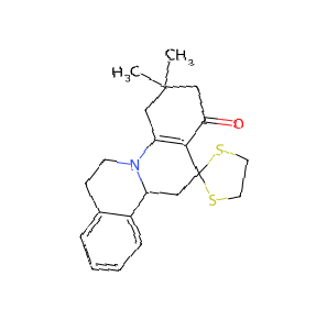 CC1(C)CC(=O)C2=C(C1)N1CCc3ccccc3C1CC21SCCS1